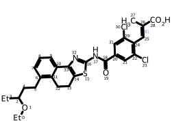 CCOC(CC)CCc1cccc2c1CCc1sc(NC(=O)c3cc(Cl)c(/C=C(\C)C(=O)O)c(Cl)c3)nc1-2